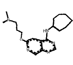 CN(C)CCCOc1cc2c(NC3CCCCCC3)ncnc2cn1